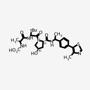 Cc1ncsc1-c1ccc(C(C)NC(=O)[C@@H]2C[C@@H](O)CN2C(=O)C(NC(=O)C(C)NC(=O)O)C(C)(C)C)cc1